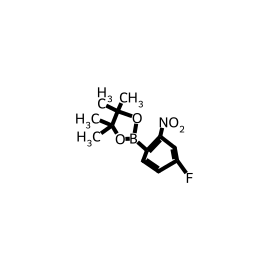 CC1(C)OB(c2ccc(F)cc2[N+](=O)[O-])OC1(C)C